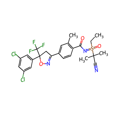 CCS(=O)(=NC(=O)c1ccc(C2=NOC(c3cc(Cl)cc(Cl)c3)(C(F)(F)F)C2)cc1C)C(C)(C)C#N